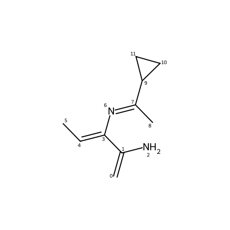 C=C(N)C(=C/C)/N=C(\C)C1CC1